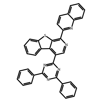 c1ccc(-c2nc(-c3ccccc3)nc(-c3cnc(-c4ccc5ccccc5n4)c4sc5ccccc5c34)n2)cc1